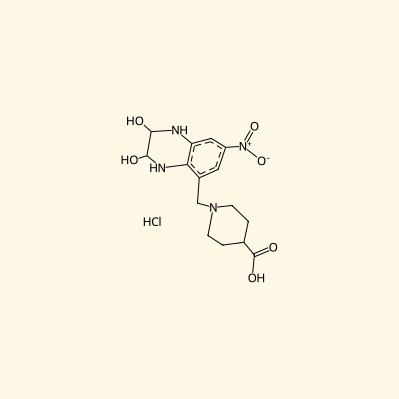 Cl.O=C(O)C1CCN(Cc2cc([N+](=O)[O-])cc3c2NC(O)C(O)N3)CC1